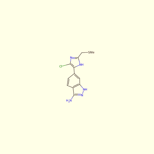 CSCc1nc(Cl)c(-c2ccc3c(N)n[nH]c3c2)[nH]1